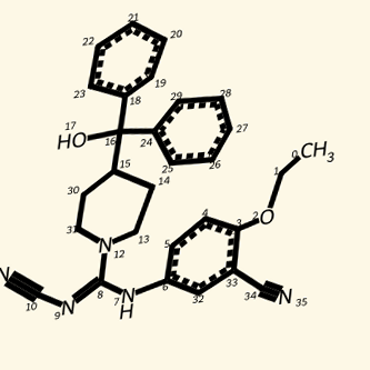 CCOc1ccc(N/C(=N/C#N)N2CCC(C(O)(c3ccccc3)c3ccccc3)CC2)cc1C#N